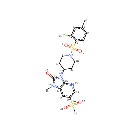 Cc1ccc(S(=O)(=O)N2CCC(n3c(=O)n(C)c4cc(S(C)(=O)=O)cnc43)CC2)c(F)c1